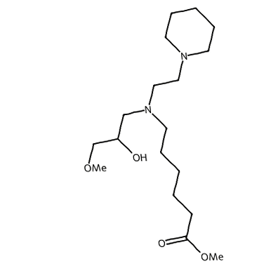 COCC(O)CN(CCCCCC(=O)OC)CCN1CCCCC1